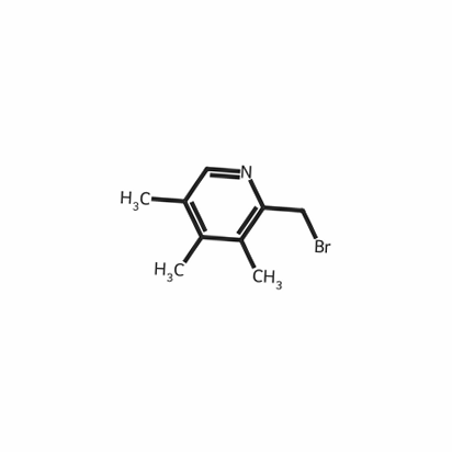 Cc1cnc(CBr)c(C)c1C